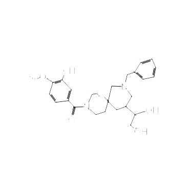 Cc1cc(C(=O)N2CCC3(CC(C(O)CO)CN(Cc4ccccc4)C3)OC2)ccc1OC(C)C